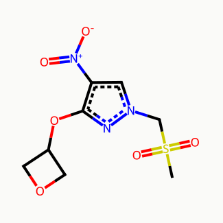 CS(=O)(=O)Cn1cc([N+](=O)[O-])c(OC2COC2)n1